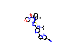 CC(C)Nc1cc(-c2ccc3cc(C#N)cnn23)ncc1-c1nnc(N2C[C@H]3CC[C@@H](C2)[C@@H]3NC(=O)N2CCOCC2)s1